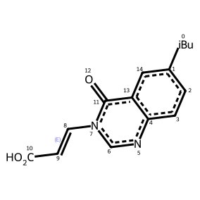 CCC(C)c1ccc2ncn(/C=C/C(=O)O)c(=O)c2c1